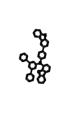 c1ccc(-c2cc(-c3ccccc3)cc(N(c3ccc(-c4ccc5sc6ccccc6c5c4)cc3)c3cccc4c3oc3ccccc34)c2)cc1